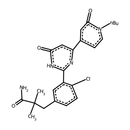 CCCCn1ccc(-c2cc(=O)[nH]c(-c3cc(CC(C)(C)C(N)=O)ccc3Cl)n2)cc1=O